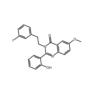 COc1ccc2nc(-c3ccccc3O)n(CCc3cccc(F)c3)c(=O)c2c1